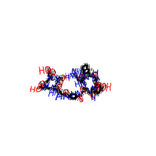 CN1[C@H](CCCNC(=O)c2ccc(NC(=O)CCNC(=O)CN3CCN(CC(=O)O)CCN(CC(=O)O)CCN(CC(=O)O)CC3)cc2)C(=O)N[C@@H](CCCNC(=N)N)C(=O)N[C@@H](Cc2ccc3ccccc3c2)C(=O)NCC(=O)N[C@]1(C=O)Cc1ccc(O)cc1